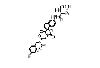 CC(C)C(NC(=O)O)C(=O)Nc1ccc2c(c1)CCC21OC(=O)N(CC(=O)N(Cc2ccc(F)cc2)C(C)C(F)(F)F)C1=O